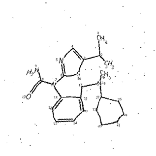 CC(C)c1cnc(N(C(N)=O)c2ccccc2CN(C)C2CCCCC2)s1